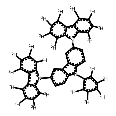 [2H]c1c([2H])c([2H])c(-n2c3ccc(-n4c5c([2H])c([2H])c([2H])c([2H])c5c5c([2H])c([2H])c([2H])c([2H])c54)cc3c3cc(-n4c5c([2H])c([2H])c([2H])c([2H])c5c5c([2H])c([2H])c([2H])c([2H])c54)ccc32)c([2H])c1[2H]